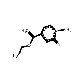 C=C(OCC)c1ccn(C)c(=O)c1